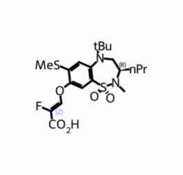 CCC[C@@H]1CN(C(C)(C)C)c2cc(SC)c(O/C=C(\F)C(=O)O)cc2S(=O)(=O)N1C